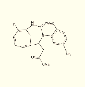 COC(=O)CC1C2=CC=CC(F)=C(C2)NC(=O)N1c1cc(C(F)(F)F)ccc1OC